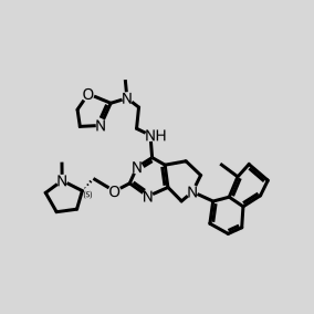 Cc1cccc2cccc(N3CCc4c(nc(OC[C@@H]5CCCN5C)nc4NCCN(C)C4=NCCO4)C3)c12